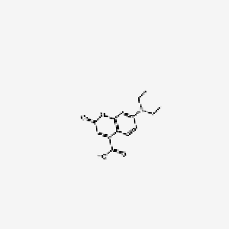 CCN(CC)c1ccc2c(C(=O)O)cc(=O)oc2c1